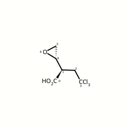 O=C(O)[C@H](CC(Cl)(Cl)Cl)[C@H]1CO1